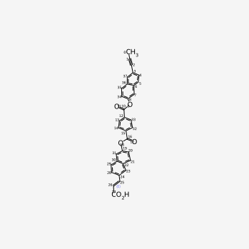 CC#Cc1ccc2cc(OC(=O)c3ccc(C(=O)Oc4ccc5cc(/C=C/C(=O)O)ccc5c4)cc3)ccc2c1